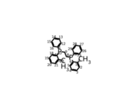 Cc1ccccc1P(CCP(c1ccccc1)c1ccccc1C)c1ccccc1